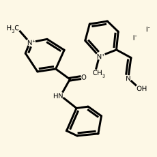 C[n+]1ccc(C(=O)Nc2ccccc2)cc1.C[n+]1ccccc1C=NO.[I-].[I-]